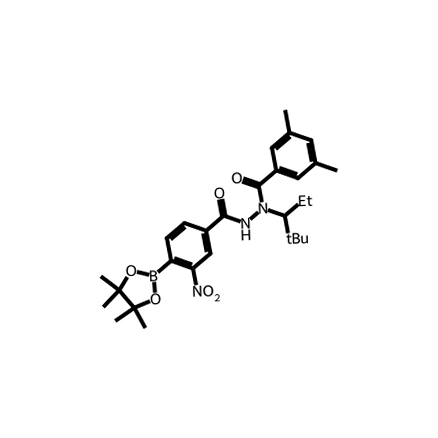 CCC(N(NC(=O)c1ccc(B2OC(C)(C)C(C)(C)O2)c([N+](=O)[O-])c1)C(=O)c1cc(C)cc(C)c1)C(C)(C)C